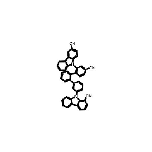 N#Cc1ccc(-c2ccccc2-c2cccc(-n3c4ccccc4c4cccc(C#N)c43)c2)c(-n2c3ccccc3c3cc(C#N)ccc32)c1